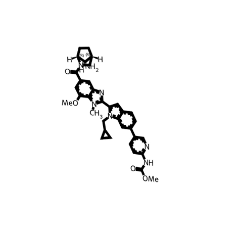 COC(=O)Nc1ccc(-c2ccc3cc(-c4nc5cc(C(=O)N6C[C@H]7CC[C@@H]6[C@@H]7N)cc(OC)c5n4C)n(CC4CC4)c3c2)cn1